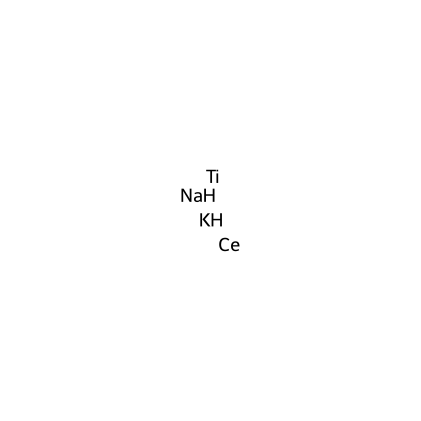 [Ce].[KH].[NaH].[Ti]